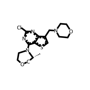 C[C@@H]1COCCN1c1nc(Cl)nc2c(CN3CCOCC3)csc12